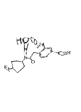 CCC1CCC(NC(=O)Cc2ccc(OC)cc2C)CC1.O=C(O)O